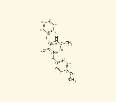 COc1ccc(CNC(=O)[C@H](Cc2ccccc2)NC(C)I)cc1